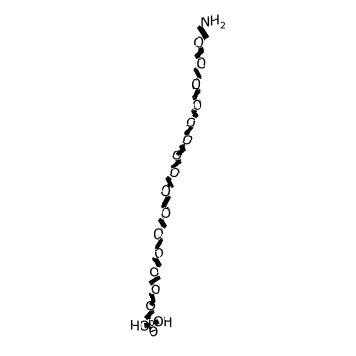 NCCOCCOCCOCCOCCOCCOCCOCCOCCOCCOCCOCCOCCOCCOCCOCCP(=O)(O)O